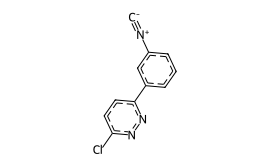 [C-]#[N+]c1cccc(-c2ccc(Cl)nn2)c1